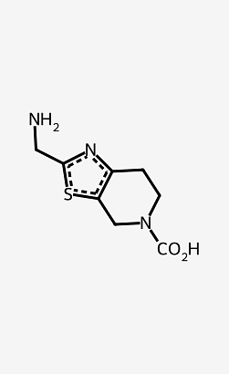 NCc1nc2c(s1)CN(C(=O)O)CC2